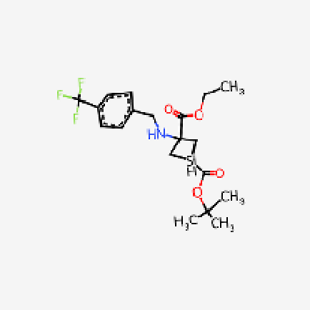 CCOC(=O)C1(NCc2ccc(C(F)(F)F)cc2)C[SiH](C(=O)OC(C)(C)C)C1